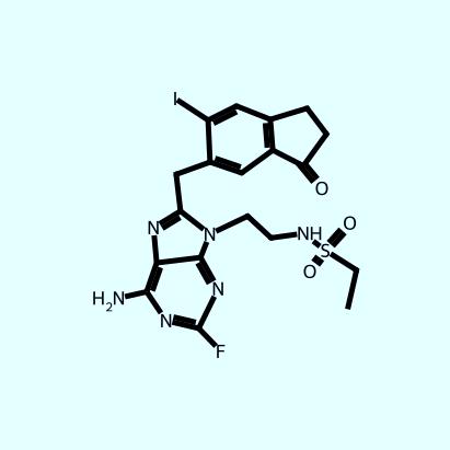 CCS(=O)(=O)NCCn1c(Cc2cc3c(cc2I)CCC3=O)nc2c(N)nc(F)nc21